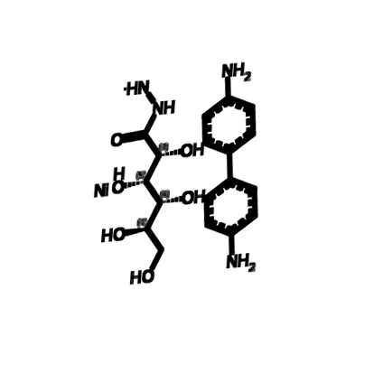 Nc1ccc(-c2ccc(N)cc2)cc1.[NH]NC(=O)[C@H](O)[C@@H](O)[C@H](O)[C@H](O)CO.[Ni]